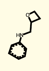 [c]1ccc(NCC2CCO2)cc1